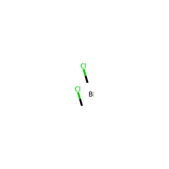 CCl.CCl.[B]